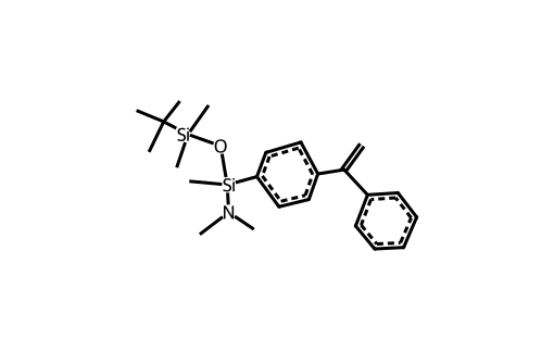 C=C(c1ccccc1)c1ccc([Si](C)(O[Si](C)(C)C(C)(C)C)N(C)C)cc1